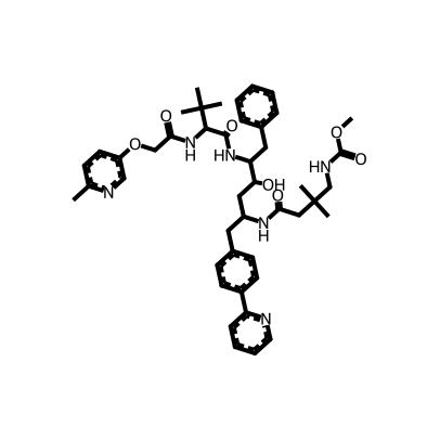 COC(=O)NCC(C)(C)CC(=O)NC(Cc1ccc(-c2ccccn2)cc1)CC(O)C(Cc1ccccc1)NC(=O)C(NC(=O)COc1ccc(C)nc1)C(C)(C)C